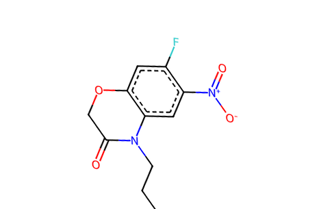 CCCN1C(=O)COc2cc(F)c([N+](=O)[O-])cc21